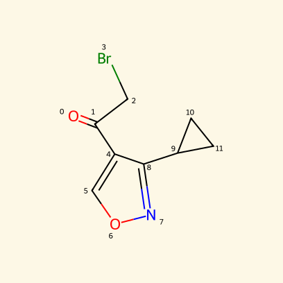 O=C(CBr)c1conc1C1CC1